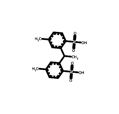 Cc1ccc(S(=O)(=O)O)c(C(C)c2cc(C)ccc2S(=O)(=O)O)c1